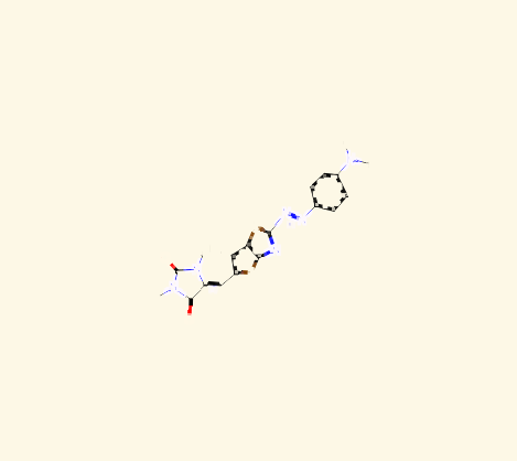 CCN(CC)c1ccc(/N=N/c2nc3sc(/C=C4/C(=O)N(C)C(=O)N4C)cc3s2)cc1